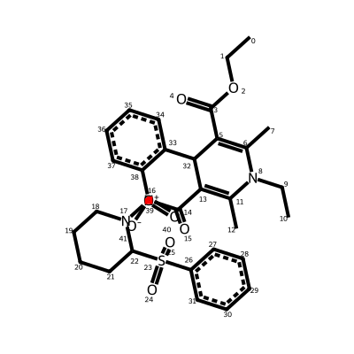 CCOC(=O)C1=C(C)N(CC)C(C)=C(C(=O)ON2CCCCC2S(=O)(=O)c2ccccc2)C1c1ccccc1[N+](=O)[O-]